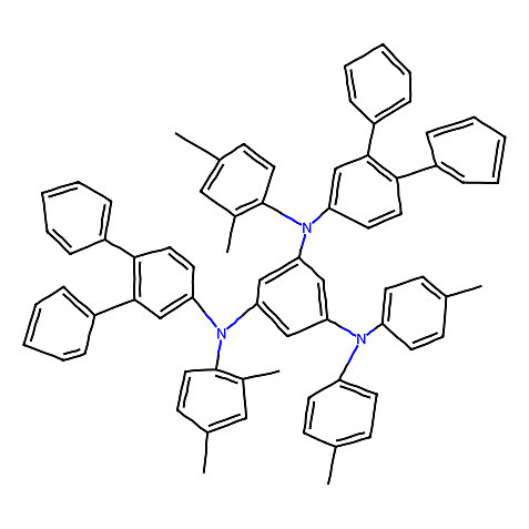 Cc1ccc(N(c2ccc(C)cc2)c2cc(N(c3ccc(-c4ccccc4)c(-c4ccccc4)c3)c3ccc(C)cc3C)cc(N(c3ccc(-c4ccccc4)c(-c4ccccc4)c3)c3ccc(C)cc3C)c2)cc1